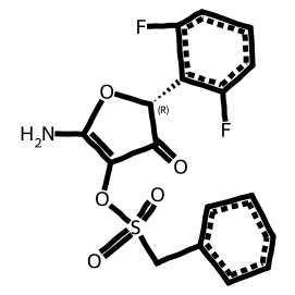 NC1=C(OS(=O)(=O)Cc2ccccc2)C(=O)[C@@H](c2c(F)cccc2F)O1